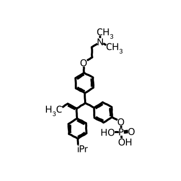 C/C=C(\c1ccc(C(C)C)cc1)C(c1ccc(OCCN(C)C)cc1)c1ccc(OP(=O)(O)O)cc1